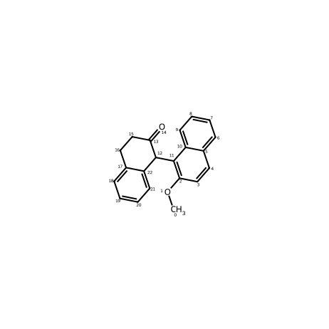 COc1ccc2ccccc2c1C1C(=O)CCc2ccccc21